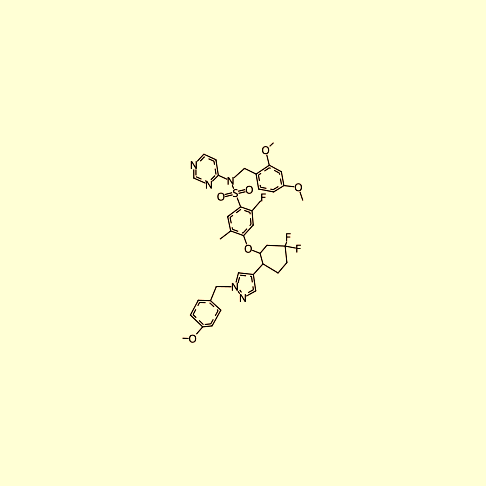 COc1ccc(Cn2cc(C3CCC(F)(F)CC3Oc3cc(F)c(S(=O)(=O)N(Cc4ccc(OC)cc4OC)c4ccncn4)cc3C)cn2)cc1